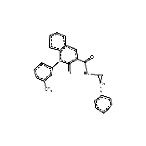 O=C(NC1C[C@@H]1c1ccccc1)c1cc2ccccc2n(-c2cccc(C(F)(F)F)c2)c1=O